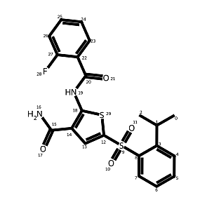 CC(C)c1ccccc1S(=O)(=O)c1cc(C(N)=O)c(NC(=O)c2ccccc2F)s1